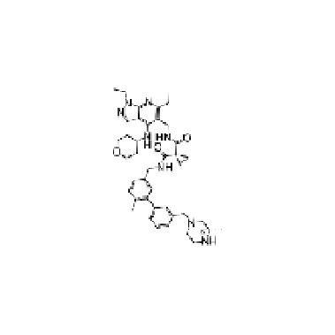 CCc1nc2c(cnn2CC)c(NC2CCOCC2)c1CNC(=O)C1(C(=O)NCc2ccc(C)c(-c3cccc(CN4CCN[C@@H](C)C4)c3)c2)CC1